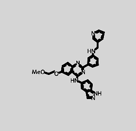 COCCOc1ccc2nc(-c3cccc(NCc4cccnc4)c3)nc(Nc3ccc4[nH]ncc4c3)c2c1